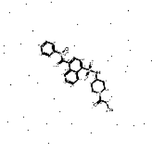 CC(C)(C)OC(=O)N1CCC(NS(=O)(=O)c2ccc(C(=O)N(Cl)c3ccccc3)c3ccccc23)CC1